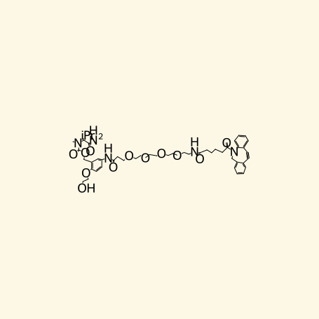 CC(C)[C@@H](C(N)=O)N(C)C(=O)OCc1cc(NC(=O)CCOCCOCCOCCOCCNC(=O)CCCCC(=O)N2Cc3ccccc3C#Cc3ccccc32)ccc1OCCO